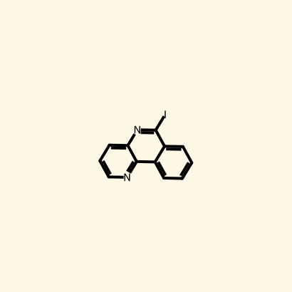 Ic1nc2cccnc2c2ccccc12